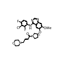 COc1cc2ncnc(Nc3ccc(F)c(Cl)c3F)c2cc1O[C@H]1CCN(C(=O)C=CCN2CCOCC2)C1